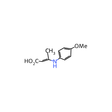 COc1ccc(N/C(C)=C/C(=O)O)cc1